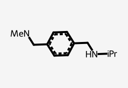 CNCc1ccc(CNC(C)C)cc1